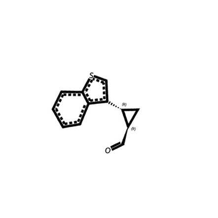 O=C[C@@H]1C[C@H]1c1csc2ccccc12